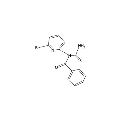 NC(=S)N(C(=O)c1ccccc1)c1cccc(Br)n1